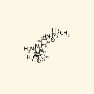 CCCNC(=O)Nc1ccc(-c2nc(N)cc(C3(S(C)(=O)=O)CCC3)n2)cc1